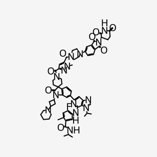 Cc1cc(F)c(Nc2nc(-c3ccc4c(c3)N(C3CC(N5CCCCC5)C3)C(=O)C43CCN(C(=O)c4cc(C(=O)N5CCN(c6ccc7c(c6)C(=O)N(C6CCC(=O)NC6=O)C7=O)CC5)n(C)n4)CC3)cc3ncn(C(C)C)c23)cc1C(=O)NC(C)C